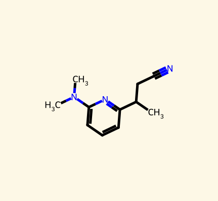 CC(CC#N)c1cccc(N(C)C)n1